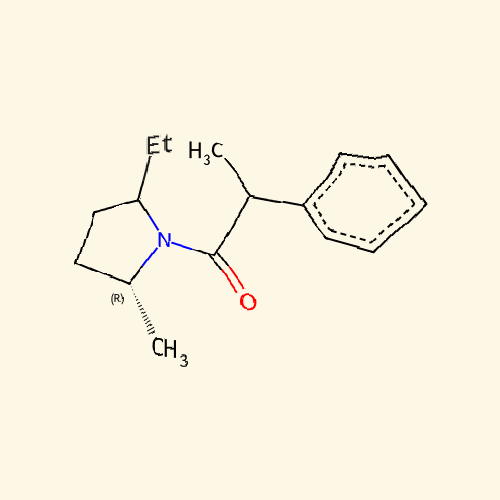 CCC1CC[C@@H](C)N1C(=O)C(C)c1ccccc1